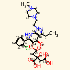 CCc1nn(CCN2CCN(C)CC2)c2[nH]c(-c3ccccc3Cl)c(OC(=O)CC(O)(CC(=O)O)C(=O)O)c(=O)c12